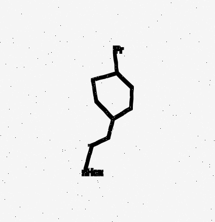 CCCCCC[CH]CC1CCC(C(C)C)CC1